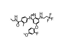 CCNC(=O)c1ccc(-n2cnc3c(NCCC(F)(F)F)cc(Oc4ccc(OC)cc4F)cc32)cc1C